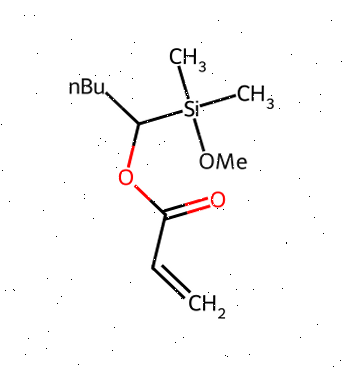 C=CC(=O)OC(CCCC)[Si](C)(C)OC